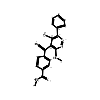 CNC(=O)c1ccc(C(=N)c2c(NC)nnc(-c3ccccc3)c2Cl)cc1